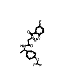 CC(NC(=O)Cn1nnc2ccc(F)cc2c1=O)c1ccc(OC(F)F)cc1